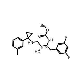 Cc1cccc(C2(NC[C@@H](O)[C@H](Cc3cc(F)cc(F)c3)NC(=O)OC(C)(C)C)CC2)c1